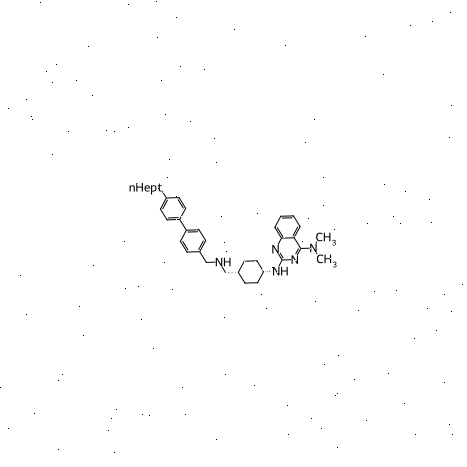 CCCCCCCc1ccc(-c2ccc(CNC[C@H]3CC[C@@H](Nc4nc(N(C)C)c5ccccc5n4)CC3)cc2)cc1